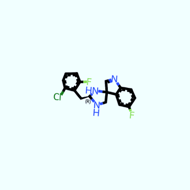 Fc1ccc2c(c1)C1(C=N2)CN[C@@H](Cc2c(F)cccc2Cl)N1